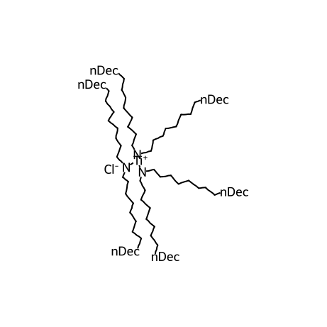 CCCCCCCCCCCCCCCCCC[N](CCCCCCCCCCCCCCCCCC)[Ti+]([N](CCCCCCCCCCCCCCCCCC)CCCCCCCCCCCCCCCCCC)[N](CCCCCCCCCCCCCCCCCC)CCCCCCCCCCCCCCCCCC.[Cl-]